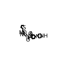 COc1cc(N2CCNCC2)ccc1C(=O)NCc1nnc(-c2cccs2)o1